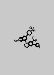 CC(=O)n1cc2cc(C3CCC(S(C)(=O)=O)CC3)cc(N3CCCc4cc(-c5cnn(C)c5)c(C(F)F)cc43)c2c1